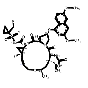 CC[C@@H]1C[C@@H](C)CC/C=C\[C@@H]2C[C@@]2(C(=O)NS(=O)(=O)C2(CF)CC2)NC(=O)[C@@H]2C[C@@H](Oc3nc(OC)cc4cc(OC)ccc34)CN2C(=O)[C@H]1NC(=O)O